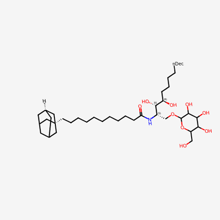 CCCCCCCCCCCCCC[C@@H](O)[C@@H](O)[C@H](COC1OC(CO)C(O)C(O)C1O)NC(=O)CCCCCCCCCC[C@]12CC3CC(C[C@@H](C3)C1)C2